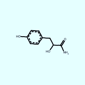 NC(=O)C(O)Cc1ccc(O)cc1